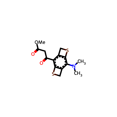 COC(=O)CC(=O)c1c2c(c(N(C)C)c3c1SC3)SC2